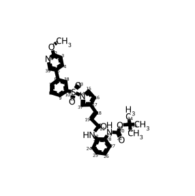 COc1ccc(-c2cccc(S(=O)(=O)n3ccc(C=CC(=O)Nc4ccccc4NC(=O)OC(C)(C)C)c3)c2)cn1